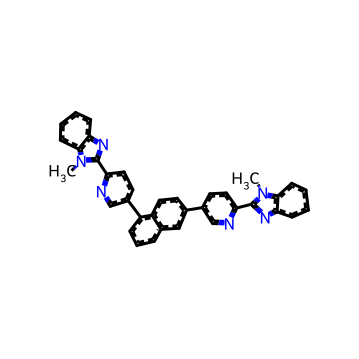 Cn1c(-c2ccc(-c3ccc4c(-c5ccc(-c6nc7ccccc7n6C)nc5)cccc4c3)cn2)nc2ccccc21